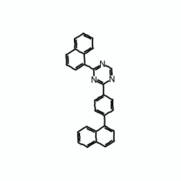 c1ccc2c(-c3ccc(-c4ncnc(-c5cccc6ccccc56)n4)cc3)cccc2c1